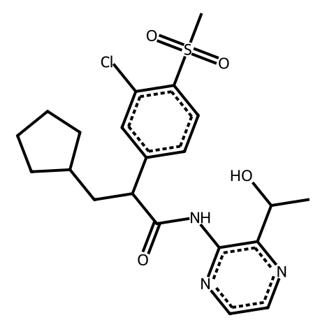 CC(O)c1nccnc1NC(=O)C(CC1CCCC1)c1ccc(S(C)(=O)=O)c(Cl)c1